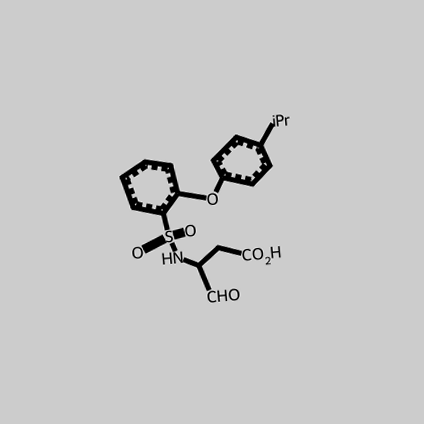 CC(C)c1ccc(Oc2ccccc2S(=O)(=O)NC(C=O)CC(=O)O)cc1